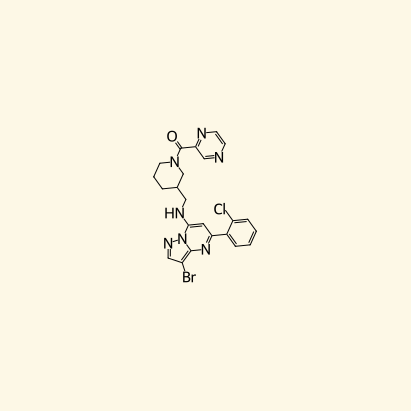 O=C(c1cnccn1)N1CCCC(CNc2cc(-c3ccccc3Cl)nc3c(Br)cnn23)C1